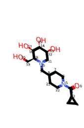 O=C(C1CC1)N1CCC(CN2C[C@H](O)[C@@H](O)[C@H](O)[C@@H]2CO)CC1